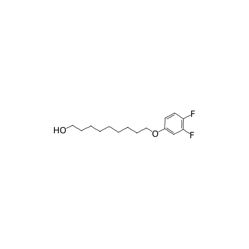 OCCCCCCCCCOc1ccc(F)c(F)c1